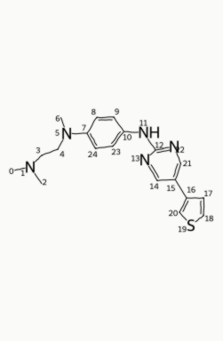 CN(C)CCN(C)c1ccc(Nc2ncc(-c3ccsc3)cn2)cc1